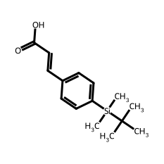 CC(C)(C)[Si](C)(C)c1ccc(C=CC(=O)O)cc1